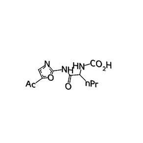 CCCC(NC(=O)O)C(=O)Nc1ncc(C(C)=O)o1